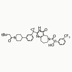 CC(C)(C)CC(=O)N1CCC(c2cccc(C3(c4nc5c(c(=O)[nH]4)CN(C(=O)[C@H](O)c4cccc(C(F)(F)F)c4)CCC5)CC3)c2)CC1